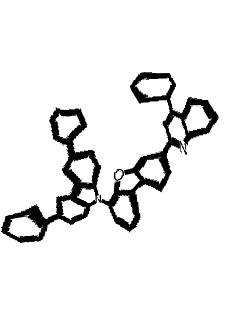 c1ccc(-c2ccc3c(c2)c2cc(-c4ccccc4)ccc2n3-c2cccc3c2oc2cc(-c4cc(-c5ccccc5)c5ccccc5n4)ccc23)cc1